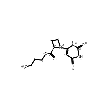 CCCCOC(=O)[C@H]1CCN1c1cc(=O)[nH]c(=O)[nH]1